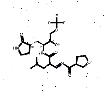 CC(C)CC(/C=N/C(=O)C1CCOC1)C(=O)N[C@@H](C[C@@H]1CCNC1=O)C(O)COC(F)(F)F